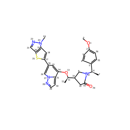 COc1ccc([C@@H](C)N2CC([C@@H](C)Oc3cc(-c4cc5c(cnn5C)s4)cn4nccc34)CC2=O)cc1